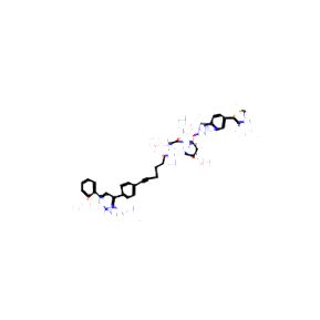 Cc1ncsc1-c1ccc([C@H](C)NC(=O)[C@@H]2C[C@@H](O)CN2C(=O)C(NC(=O)CCCC#Cc2ccc(-c3cc(-c4ccccc4O)nnc3N)cc2)C(C)(C)C)cc1